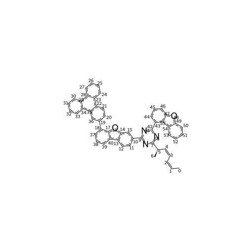 C/C=C\C=C/[C@@H](C)c1nc(-c2ccc3c(c2)oc2c(-c4ccc5c6ccccc6c6ccccc6c5c4)cccc23)nc(-c2cccc3oc4ccccc4c23)n1